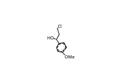 COc1ccc([C@@H](O)CCCl)cc1